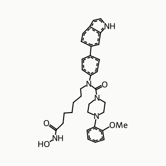 COc1ccccc1N1CCN(C(=O)N(CCCCCCC(=O)NO)c2ccc(-c3ccc4cc[nH]c4c3)cc2)CC1